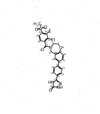 CCc1c(C(=O)N2CCOc3ccc(-c4ccc(-c5n[nH]c(=O)[nH]5)cc4)cc3C2)ccc(S(C)(=O)=O)c1F